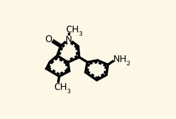 Cc1ccc2c(=O)n(C)cc(-c3cccc(N)c3)c2c1